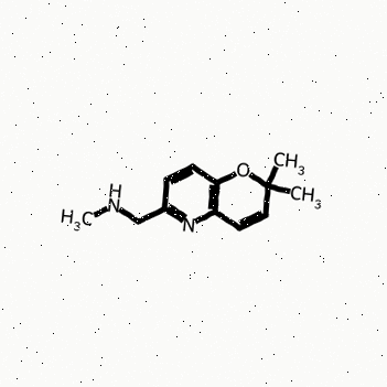 CNCc1ccc2c(n1)C=CC(C)(C)O2